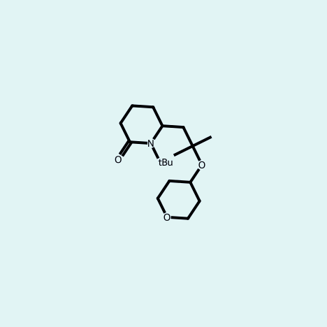 CC(C)(CC1CCCC(=O)N1C(C)(C)C)OC1CCOCC1